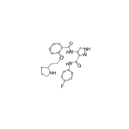 O=C(Nc1c[nH]nc1C(=O)Nc1ccc(F)cc1)c1ccccc1OCCC1CCCN1